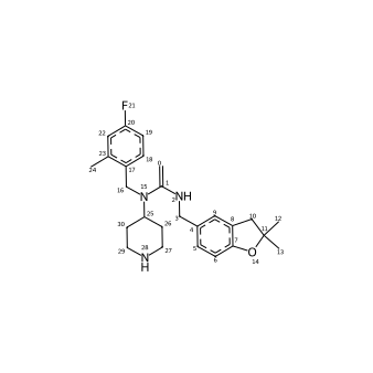 C=C(NCc1ccc2c(c1)CC(C)(C)O2)N(Cc1ccc(F)cc1C)C1CCNCC1